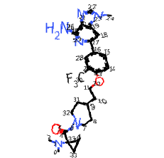 CN(C)C1(C(=O)N2CCC(CCOc3ccc(-c4cc5c(ncn5C)c(N)n4)cc3C(F)(F)F)CC2)CC1